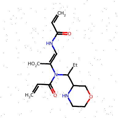 C=CC(=O)NC=C(C(=O)O)N(C(=O)C=C)C(CC)C1COCCN1